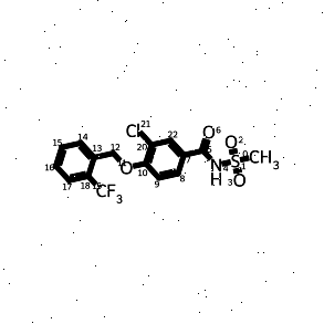 CS(=O)(=O)NC(=O)c1ccc(OCc2ccccc2C(F)(F)F)c(Cl)c1